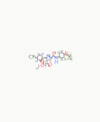 CCOC(=O)C1(C(C)=O)CN(C(=O)Nc2ccc(OC(F)(F)F)cc2)N=C1c1ccc(Cl)cc1